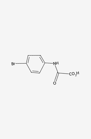 O=C(O)C(=O)Nc1ccc(Br)cc1